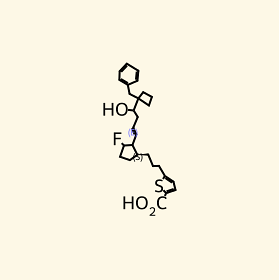 O=C(O)c1ccc(CCC[C@H]2CCC(F)C2/C=C/CC(O)C2(Cc3ccccc3)CCC2)s1